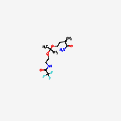 C=C(CCOC(C)(C)OCCNC(=O)C(F)(F)F)C(N)=O